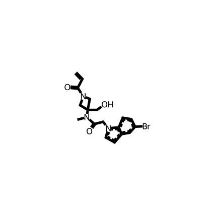 C=CC(=O)N1CC(CO)(N(C)C(=O)Cn2ccc3cc(Br)ccc32)C1